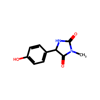 CN1C(=O)NC(c2ccc(O)cc2)C1=O